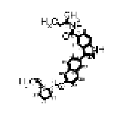 CCC(C)NC(=O)c1ccc2[nH]nc(-c3ccc4cc(OC[C@@H]5CCCN5CC)ccc4c3)c2c1